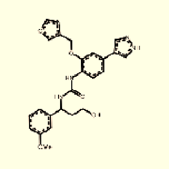 COc1cccc(C(CCO)NC(=O)Nc2ccc(-c3cn[nH]c3)cc2OCc2cocn2)c1